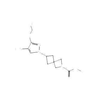 CC(C)(C)OC(=O)N1CC2(CC(n3cc(N)c(OCC(F)(F)F)n3)C2)C1